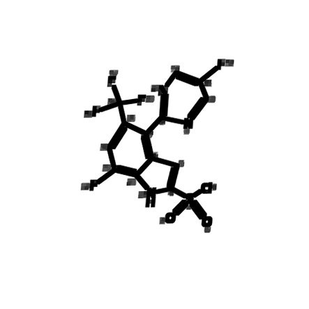 O=S(=O)(Cl)c1cc2c(-c3ncc(F)cn3)c(C(F)(F)F)cc(F)c2[nH]1